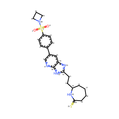 O=S(=O)(c1ccc(-c2cnc3[nH]c(CCC4CCCCC(=S)N4)nc3c2)cc1)N1CCC1